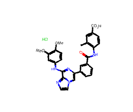 COc1ccc(Nc2nc(-c3cccc(C(=O)Nc4ccc(C(=O)O)cc4C)c3)cn3ccnc23)cc1OC.Cl